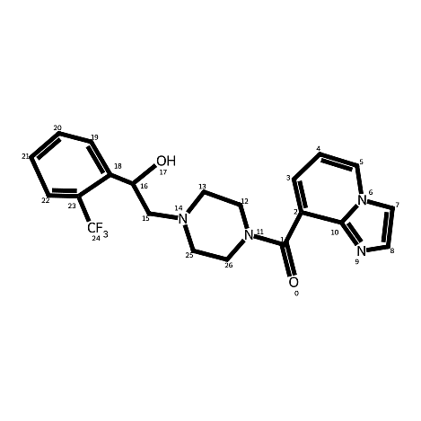 O=C(c1cccn2ccnc12)N1CCN(CC(O)c2ccccc2C(F)(F)F)CC1